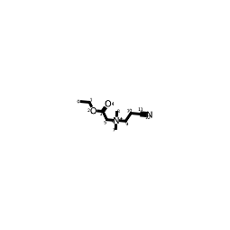 CCOC(=O)C[N+](C)(C)CCC#N